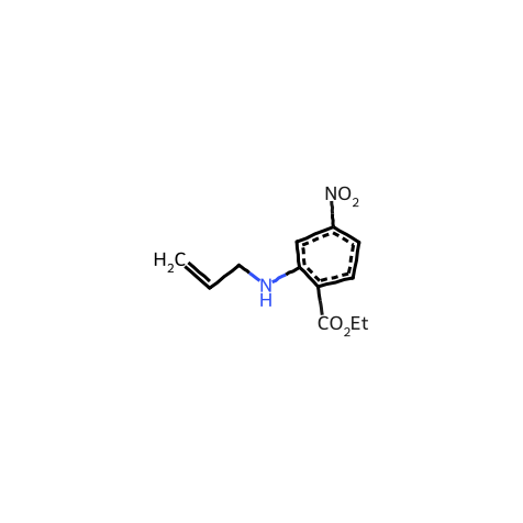 C=CCNc1cc([N+](=O)[O-])ccc1C(=O)OCC